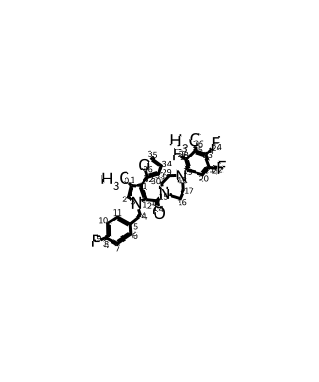 Cc1cn(Cc2ccc(F)cc2)c(C(=O)N2CCN(c3cc(F)c(F)c(C)c3F)CC2)c1-c1ccco1